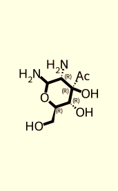 CC(=O)[C@]1(O)[C@H](O)[C@@H](CO)OC(N)[C@@H]1N